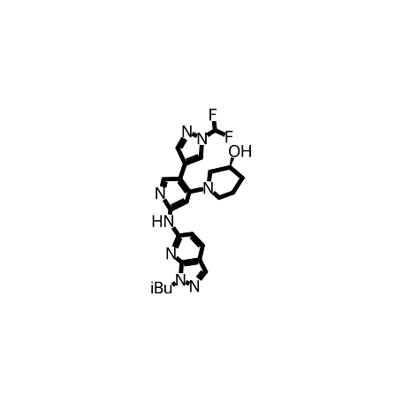 CCC(C)n1ncc2ccc(Nc3cc(N4CCC[C@H](O)C4)c(-c4cnn(C(F)F)c4)cn3)nc21